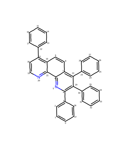 c1ccc(-c2nc3c(ccc4c(-c5ccccc5)ccnc43)c(-c3ccccc3)c2-c2ccccc2)cc1